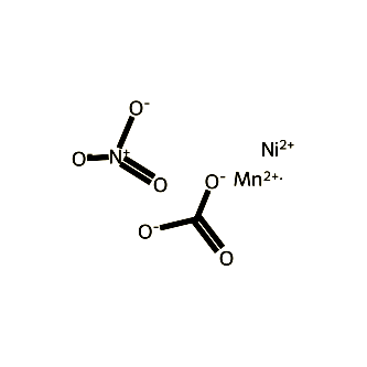 O=C([O-])[O-].O=[N+]([O-])[O-].[Mn+2].[Ni+2]